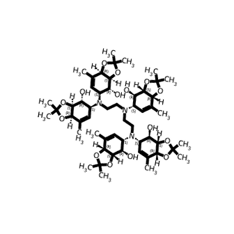 CC1=C[C@H](N(CCN([C@H]2C=C(C)[C@H]3OC(C)(C)O[C@H]3[C@@H]2O)[C@H]2C=C(C)[C@H]3OC(C)(C)O[C@H]3[C@@H]2O)CCN([C@H]2C=C(C)[C@H]3OC(C)(C)O[C@H]3[C@@H]2O)[C@H]2C=C(C)[C@H]3OC(C)(C)O[C@H]3[C@@H]2O)[C@@H](O)[C@@H]2OC(C)(C)O[C@H]12